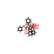 O=C(C(O)Cc1ccccc1)C(O)(Cc1ccccc1)C(O)(Cc1ccccc1)C(O)(CO)Cc1ccccc1